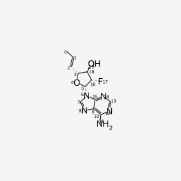 C/C=C/[C@H]1O[C@@H](n2cnc3c(N)ncnc32)[C@@H](F)[C@@H]1O